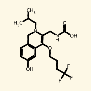 CC(C)CN1Cc2ccc(O)cc2C(OCCCC(F)(F)F)=C1CNC(=O)O